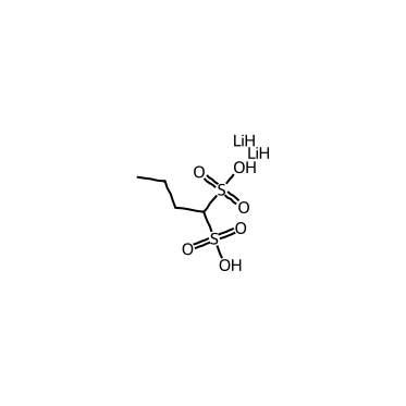 CCCC(S(=O)(=O)O)S(=O)(=O)O.[LiH].[LiH]